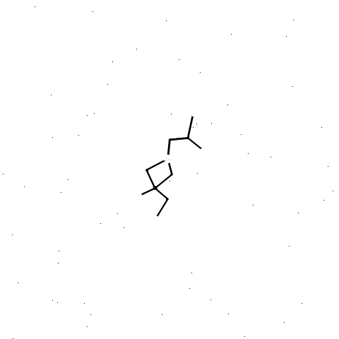 C[C](C)CN1CC(F)(CO)C1